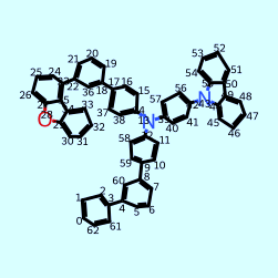 c1ccc(-c2cccc(-c3ccc(N(c4ccc(-c5cccc(-c6cccc7oc8ccccc8c67)c5)cc4)c4ccc(-n5c6ccccc6c6ccccc65)cc4)cc3)c2)cc1